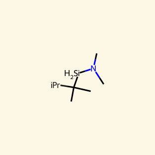 CC(C)C(C)(C)[SiH2]N(C)C